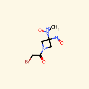 C[NH+]([O-])C1(N=O)CN(C(=O)CBr)C1